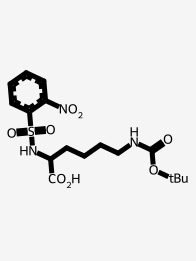 CC(C)(C)OC(=O)NCCCCC(NS(=O)(=O)c1ccccc1[N+](=O)[O-])C(=O)O